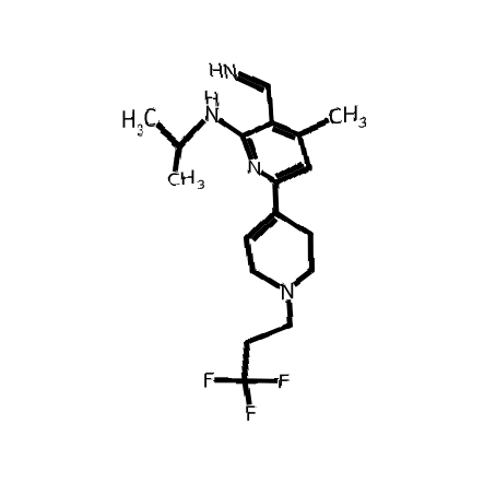 Cc1cc(C2=CCN(CCC(F)(F)F)CC2)nc(NC(C)C)c1C=N